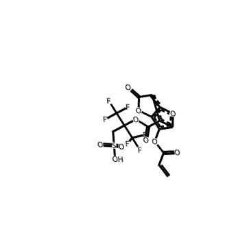 C=CC(=O)Oc1c2c3oc1c(C(=O)OC(CS(=O)(=O)O)(C(F)(F)F)C(F)(F)F)c3C(=O)O2